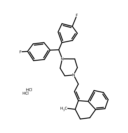 CC1CCc2ccccc2C1=CCN1CCN(C(c2ccc(F)cc2)c2ccc(F)cc2)CC1.Cl.Cl